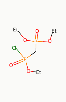 CCOP(=O)(Cl)CP(=O)(OCC)OCC